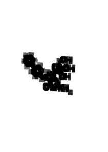 Nc1nc([O-])c2c(n1)n([C@@H]1O[C@H](CO)[C@@H](O)[C@H]1O)c[n+]2Cc1ccc(-c2ccccc2)cc1